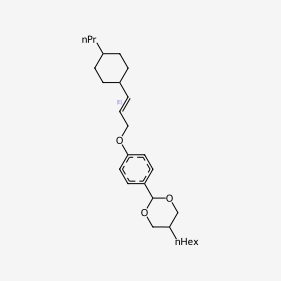 CCCCCCC1COC(c2ccc(OC/C=C/C3CCC(CCC)CC3)cc2)OC1